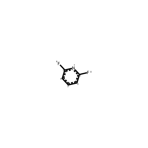 Fc1c[c]cc(F)n1